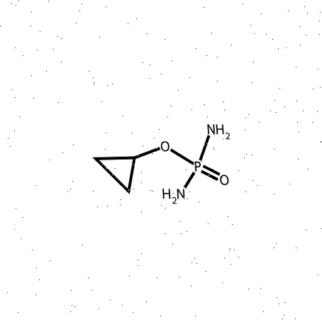 NP(N)(=O)OC1CC1